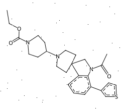 CCOC(=O)N1CCC(N2CCC3(CC2)CN(C(C)=O)c2c(-c4ccsc4)cccc23)CC1